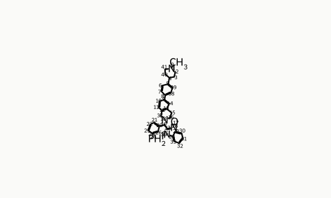 CN1CCC(c2ccc(-c3ccc4c(c3)CC(=O)N(C(c3cccc(P)c3)c3nc5ccccc5n3I)C4)cc2)CC1